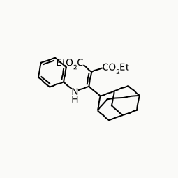 CCOC(=O)C(C(=O)OCC)=C(Nc1ccccc1)C1C2CC3CC(C2)CC1C3